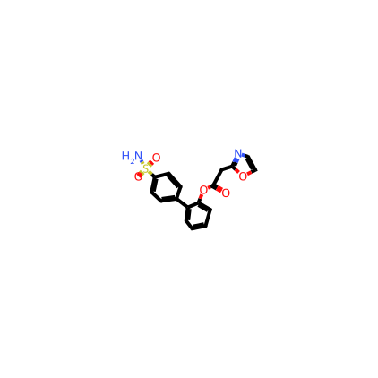 NS(=O)(=O)c1ccc(-c2ccccc2OC(=O)Cc2ncco2)cc1